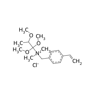 C=Cc1ccc(C[N+](C)(C)C(OC)(OC)C(C)OC)cc1.[Cl-]